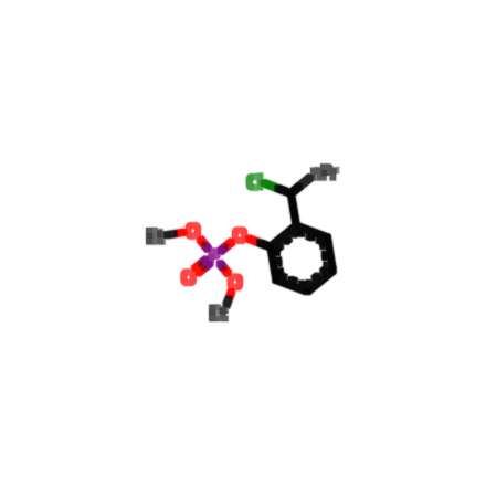 CCCC(Cl)c1ccccc1OP(=O)(OCC)OCC